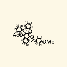 COc1ccc(C(C)Oc2c(Oc3ccccc3)c(Oc3ccccc3)c(OC(C)=O)c3ccccc23)cc1